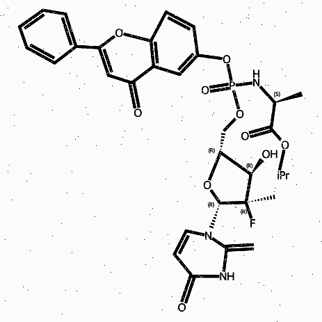 C=C1NC(=O)C=CN1[C@@H]1O[C@H](COP(=O)(N[C@@H](C)C(=O)OC(C)C)Oc2ccc3oc(-c4ccccc4)cc(=O)c3c2)[C@@H](O)[C@@]1(C)F